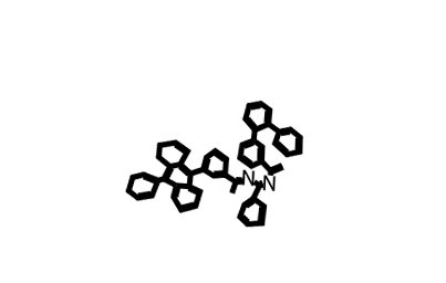 C=C(/N=C(\N=C(/C)c1cccc(-c2c3c(c(C4=CCCC=C4)c4ccccc24)CCC=C3)c1)c1ccccc1)c1cccc(-c2ccccc2-c2ccccc2)c1